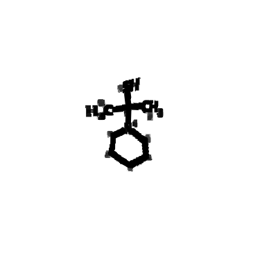 CC(C)(S)N1CCCCC1